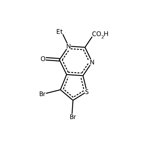 CCn1c(C(=O)O)nc2sc(Br)c(Br)c2c1=O